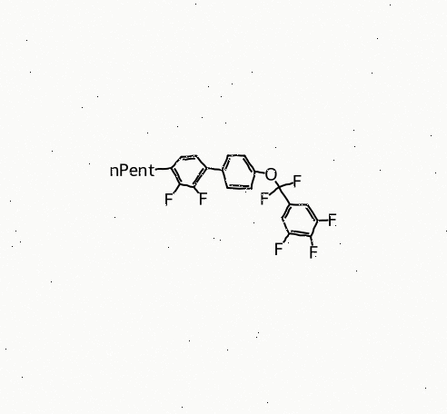 CCCCCc1ccc(-c2ccc(OC(F)(F)c3cc(F)c(F)c(F)c3)cc2)c(F)c1F